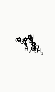 CN(C)C(=O)c1ccc(-c2cc3nccc(-c4ccc(O[C@H]5CCCOC5)c(C#N)c4)c3o2)cc1